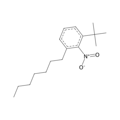 CCCCCCCc1cccc(C(C)(C)C)c1[N+](=O)[O-]